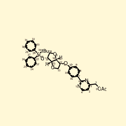 CC(=O)OCc1ccnc(-c2ccc(O[C@H]3CO[C@H]4[C@@H]3OC[C@H]4O[Si](c3ccccc3)(c3ccccc3)C(C)(C)C)cc2)n1